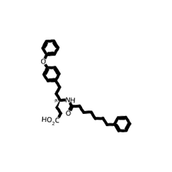 O=C(O)CC[C@@H](CCc1ccc(Oc2ccccc2)cc1)NC(=O)CCCCCCc1ccccc1